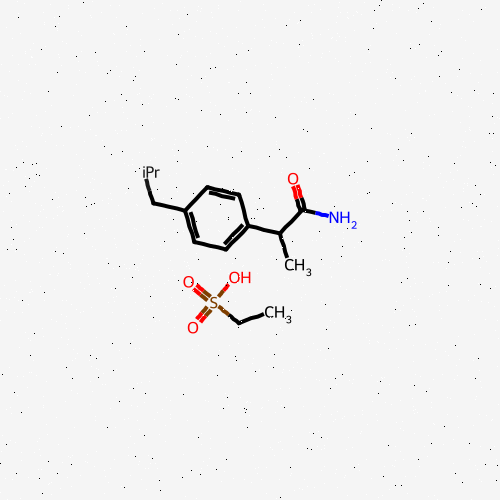 CC(C)Cc1ccc(C(C)C(N)=O)cc1.CCS(=O)(=O)O